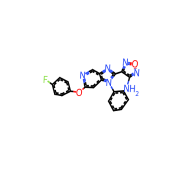 Nc1nonc1-c1nc2cnc(Oc3ccc(F)cc3)cc2n1-c1ccccc1